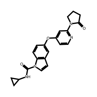 O=C1CCCN1c1cc(Oc2ccc3c(ccn3C(=O)NC3CC3)c2)ccn1